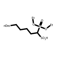 CCCCCCCCCCCCCCC(P(=O)(OCC)OCC)S(=O)(=O)O